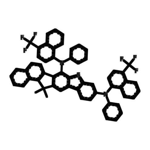 CC1(C)c2cc3c(sc4cc(N(c5ccccc5)c5ccc(C(F)(F)F)c6ccccc56)ccc43)c(N(c3ccccc3)c3ccc(C(F)(F)F)c4ccccc34)c2-c2ccc3ccccc3c21